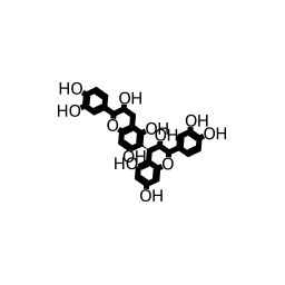 Oc1cc(O)c2c(c1)OC(c1ccc(O)c(O)c1)C(O)[C@H]2c1c(O)cc2c(c1O)CC(O)C(c1ccc(O)c(O)c1)O2